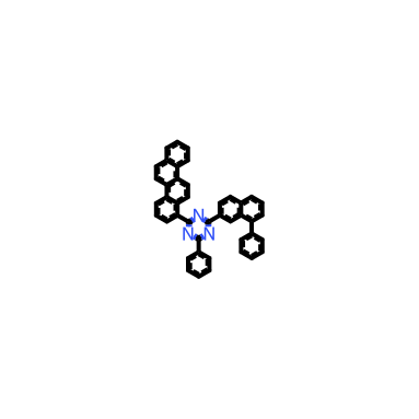 c1ccc(-c2nc(-c3ccc4cccc(-c5ccccc5)c4c3)nc(-c3cccc4c3ccc3c5ccccc5ccc43)n2)cc1